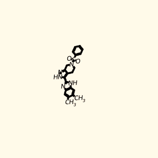 Cc1cc2nc(-c3[nH]nc4c3CCN(S(=O)(=O)c3ccccc3)C4)[nH]c2cc1C